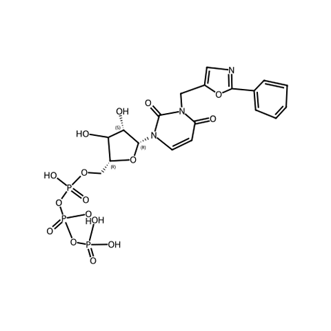 O=c1ccn([C@@H]2O[C@H](COP(=O)(O)OP(=O)(O)OP(=O)(O)O)C(O)[C@@H]2O)c(=O)n1Cc1cnc(-c2ccccc2)o1